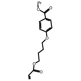 C=CC(=O)OCCCCOc1ccc(C(=O)OC(C)C)cc1